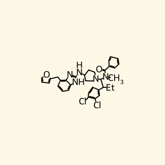 CCC(c1ccc(Cl)c(Cl)c1)C(N1CCC(Nc2nc3c(Cc4ccco4)cccc3[nH]2)CC1)N(C)C(=O)c1ccccc1